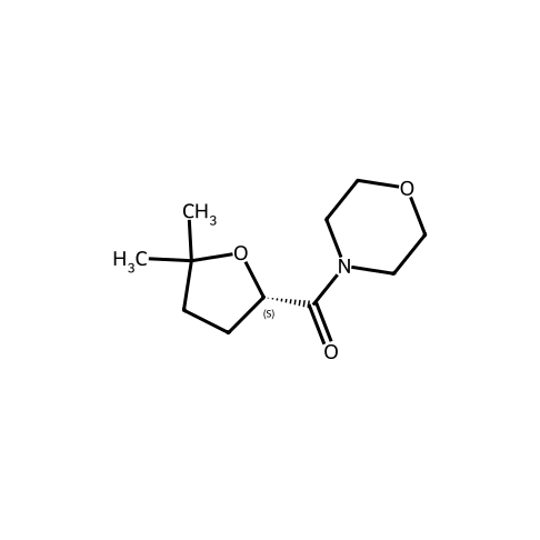 CC1(C)CC[C@@H](C(=O)N2CCOCC2)O1